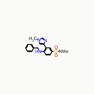 CNS(=O)(=O)c1ccc(NCc2ccccc2)c(-c2cn(C)cn2)c1